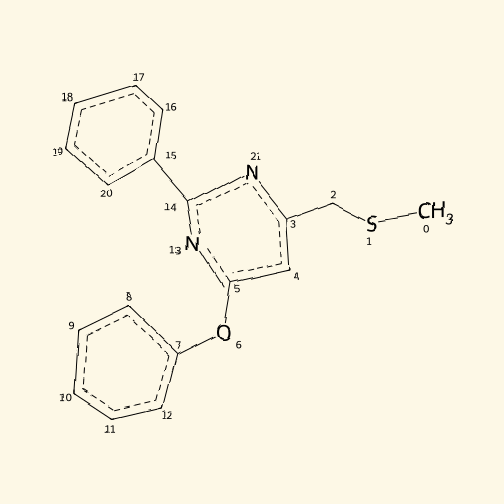 CSCc1cc(Oc2ccccc2)nc(-c2ccccc2)n1